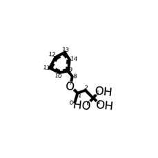 CC(CC(O)(O)O)OCc1ccccc1